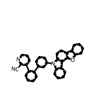 N#Cc1ncccc1-c1ccccc1-c1cccc(-n2c3ccccc3c3c4oc5ccccc5c4ccc32)c1